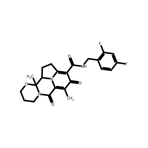 Cc1c2n3c(c(C(=O)NCc4ccc(F)cc4F)c1=O)CCC3C1(C)OCCCN1C2=O